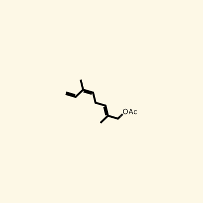 C=CC(C)=CCC=C(C)COC(C)=O